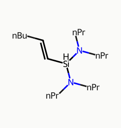 CCCCC=C[SiH](N(CCC)CCC)N(CCC)CCC